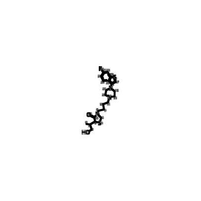 CC(CO)C1SCN(CCCCN2CCN(c3csc4cc(F)ccc34)CC2)C1=O